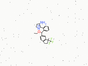 CCOC(c1ccc2c(c1)C(C)(C(F)(F)F)CC2)c1ccccc1C1NCCC1N